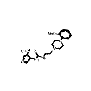 COc1ccccc1N1CCN(CCNC(=O)Nc2cocc2C(=O)O)CC1